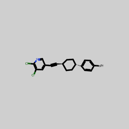 CCCc1ccc([C@H]2CC[C@H](C#Cc3cnc(Cl)c(Cl)c3)CC2)cc1